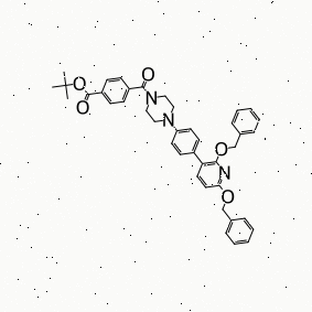 CC(C)(C)OC(=O)c1ccc(C(=O)N2CCN(c3ccc(-c4ccc(OCc5ccccc5)nc4OCc4ccccc4)cc3)CC2)cc1